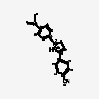 CN(C)c1ccc(N2CC=C(c3ccc(C#N)cc3)N2)cc1